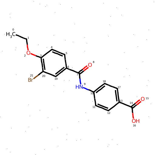 CCOc1ccc(C(=O)Nc2ccc(C(=O)O)cc2)cc1Br